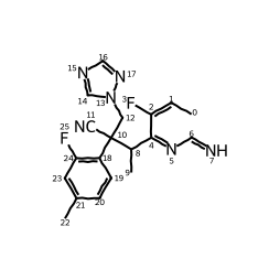 C/C=C(F)\C(=N/C=N)C(C)C(C#N)(Cn1cncn1)c1ccc(C)cc1F